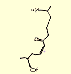 CC(N)CCCC(=O)/C=C\CC(C)O